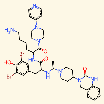 C=C(NC(Cc1cc(Br)c(O)c(Br)c1)C(=O)NC(CCCCN)C(=O)N1CCN(c2ccncc2)CC1)N1CCC(N2Cc3ccccc3NC2=O)CC1